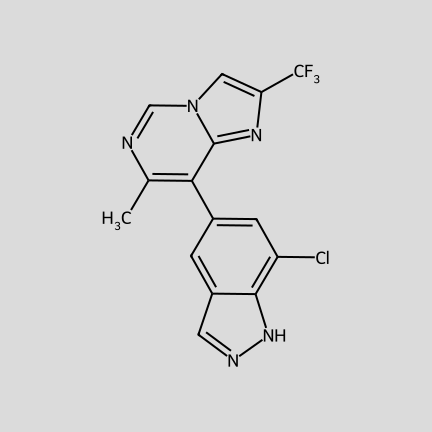 Cc1ncn2cc(C(F)(F)F)nc2c1-c1cc(Cl)c2[nH]ncc2c1